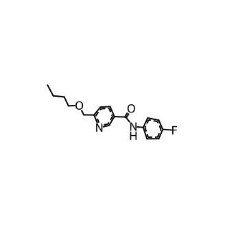 CCCCOCc1ccc(C(=O)Nc2ccc(F)cc2)cn1